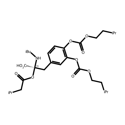 CCC(C)N[C@@](Cc1ccc(OC(=O)OCCC(C)C)c(OC(=O)OCCC(C)C)c1)(OC(=O)CC(C)C)C(=O)O